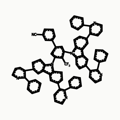 N#Cc1cccc(-c2cc(-n3c4ccc(-c5cccnc5-c5ccccc5)cc4c4cc(-c5cccnc5-c5ccccc5)ccc43)c(C(F)(F)F)c(-n3c4ccc(-c5cccnc5-c5ccccc5)cc4c4cc(-c5cccnc5-c5ccccc5)ccc43)c2)c1